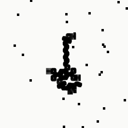 CCn1cc(CC(C)(C)Oc2cc(C(=O)O)c(OCCCCCCCC(C)(C)O)cc2C(=O)O)nn1